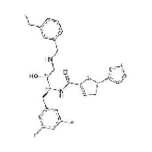 CCc1cccc(CNC[C@@H](O)[C@H](Cc2cc(F)cc(F)c2)NC(=O)C2=CCC(c3ccsc3)S2)c1